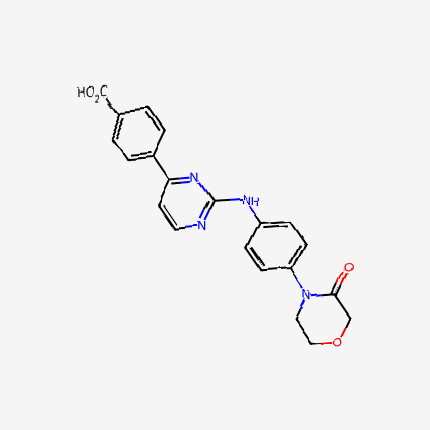 O=C(O)c1ccc(-c2ccnc(Nc3ccc(N4CCOCC4=O)cc3)n2)cc1